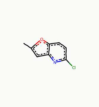 Cc1cc2nc(Cl)ccc2o1